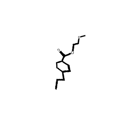 CCCC1CCC(C(=O)OCCOC)CC1